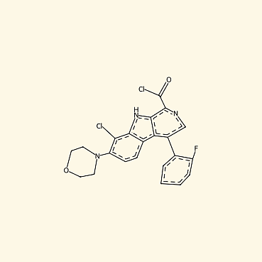 O=C(Cl)c1ncc(-c2ccccc2F)c2c1[nH]c1c(Cl)c(N3CCOCC3)ccc12